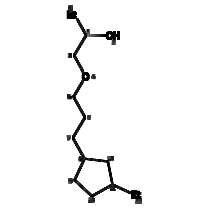 CCC(O)COCCCC1CCC(CC)C1